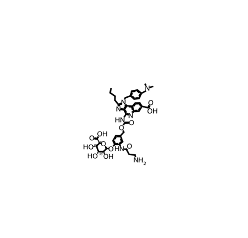 CCCCc1nc2c(NC(=O)OCc3ccc(O[C@@H]4O[C@H](C(=O)O)[C@@H](O)[C@H](O)[C@H]4O)c(NC(=O)CCN)c3)nc3cc(C(=O)O)ccc3c2n1Cc1ccc(CN(C)C)cc1